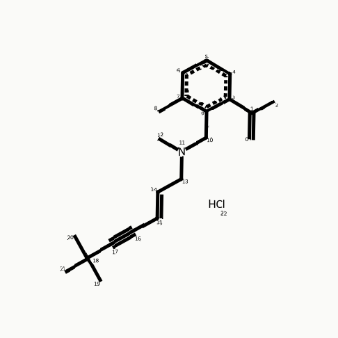 C=C(C)c1cccc(C)c1CN(C)CC=CC#CC(C)(C)C.Cl